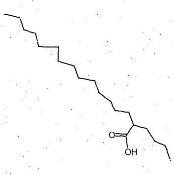 CCCCCCCCCCCCCCC(CCCC)C(=O)O